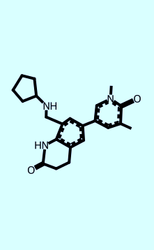 Cc1cc(-c2cc3c(c(CNC4CCCC4)c2)NC(=O)CC3)cn(C)c1=O